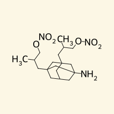 CC(CO[N+](=O)[O-])CC12CC3CC(N)(C1)CC(CC(C)CO[N+](=O)[O-])(C3)C2